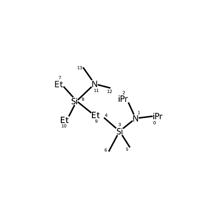 CC(C)N(C(C)C)[Si](C)(C)C.CC[Si](CC)(CC)N(C)C